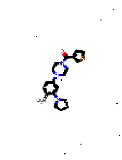 O=C(c1ccsc1)N1CCN(c2ccc([N+](=O)[O-])c(N3CCCC3)c2)CC1